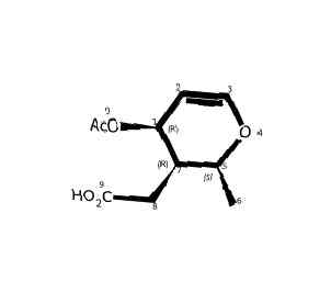 CC(=O)O[C@H]1C=CO[C@@H](C)[C@H]1CC(=O)O